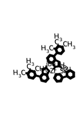 CCC(C)C1=Cc2c(-c3ccc(C)c(C)c3C)cccc2[CH]1[Zr]([c]1cccc2c1[SiH2]c1ccccc1-2)[CH]1C(C(C)CC)=Cc2c(-c3ccc(C)c(C)c3C)cccc21